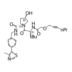 [CH2]CCC#CCOCC(=O)N[C@H](C(=O)N1C[C@H](O)C[C@H]1C(=O)NCc1ccc(-c2scnc2C)cc1)C(C)(C)C